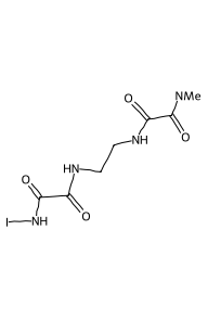 CNC(=O)C(=O)NCCNC(=O)C(=O)NI